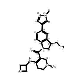 CC(=O)N1CCC(NC2COC2)=C(C(=N)N2C[C@H](CC#N)c3cc(-c4cnn(C)c4)ccc32)C1